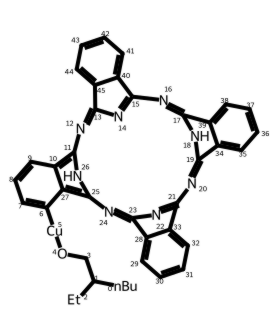 CCCCC(CC)C[O][Cu][c]1cccc2c3nc4nc(nc5[nH]c(nc6nc(nc([nH]3)c12)-c1ccccc1-6)c1ccccc51)-c1ccccc1-4